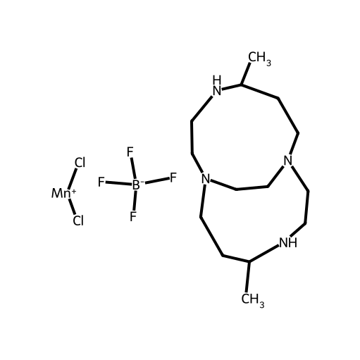 CC1CCN2CCNC(C)CCN(CCN1)CC2.F[B-](F)(F)F.[Cl][Mn+][Cl]